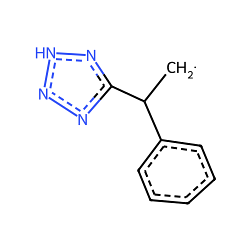 [CH2]C(c1ccccc1)c1nn[nH]n1